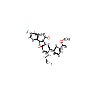 CNC(=O)c1c(-c2ccc(F)cc2)oc2cc(CCC(F)(F)F)c(-c3cccc(C(C)OC(C)(C)C)c3)cc12